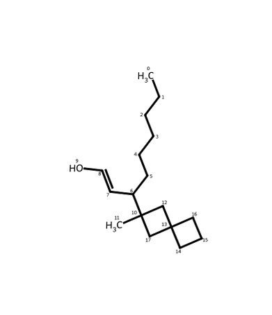 CCCCCCC(C=CO)C1(C)CC2(CCC2)C1